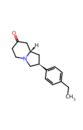 CCc1ccc([C@@H]2C[C@H]3CC(=O)CCN3C2)cc1